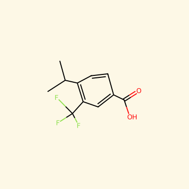 CC(C)c1ccc(C(=O)O)cc1C(F)(F)F